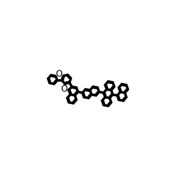 c1ccc2c(-c3c4ccccc4c(-c4ccc5cc(-c6cc7c8ccc9oc%10ccccc%10c9c8oc7c7ccccc67)ccc5c4)c4ccccc34)cccc2c1